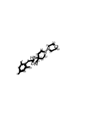 Cc1cc(C)c(CC(=O)NC2(C#N)CCN(N3CCOCC3)CC2)c(C)c1